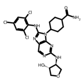 NC(=O)C1CCC(n2c(Nc3c(Cl)cc(Cl)cc3Cl)nc3cnc(N[C@H]4COC[C@@H]4O)nc32)CC1